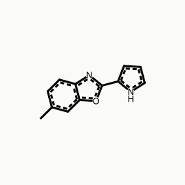 Cc1ccc2nc(-c3ccc[nH]3)oc2c1